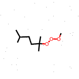 COOOC(C)(C)CCC(C)C